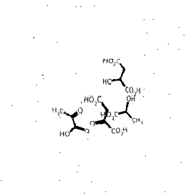 CC(=O)C(=O)O.CC(O)C(=O)O.O=C(O)CC(=O)C(=O)O.O=C(O)CC(O)C(=O)O